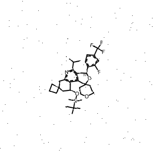 CC(C)c1nc2c(c3c1[C@@H](c1ccc(C(F)(F)F)cc1F)OC31CCOCC1)C(O[Si](C)(C)C(C)(C)C)CC1(CCC1)C2